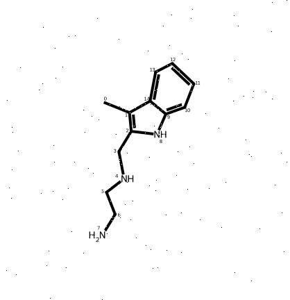 Cc1c(CNCCN)[nH]c2ccccc12